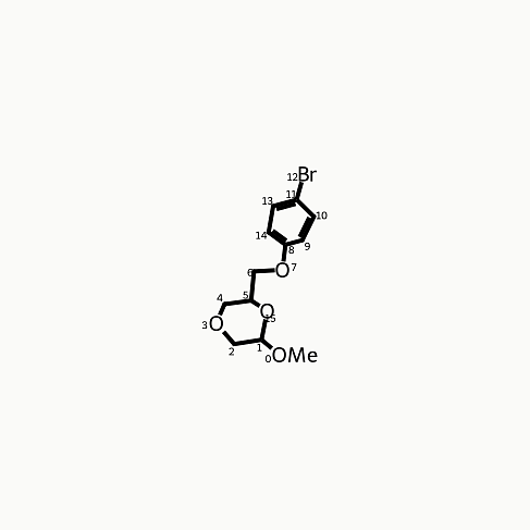 COC1COCC(COc2ccc(Br)cc2)O1